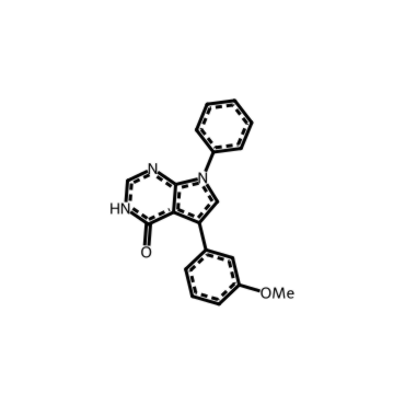 COc1cccc(-c2cn(-c3ccccc3)c3nc[nH]c(=O)c23)c1